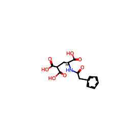 O=C(Cc1ccccc1)N[C@@H](CC(C(=O)O)C(=O)O)C(=O)O